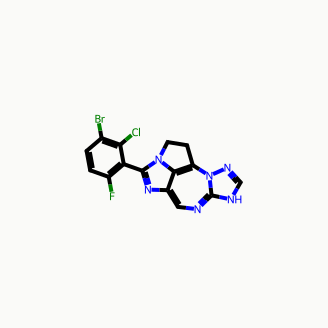 Fc1ccc(Br)c(Cl)c1-c1nc2c3n1CCC=3N1N=CNC1=NC=2